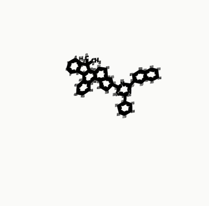 CC1(C)c2ccccc2-c2c1c1ccc3cc(-c4nc(-c5ccccc5)nc(-c5ccc6ccccc6c5)n4)ccc3c1c1ccccc21